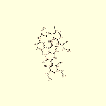 C=CC(=O)Nc1ccc(Cn2c(=O)c(-c3c(Cl)c(OC)cc(OC)c3Cl)cc3cnc(Nc4c(NC(=O)C=C)ccc(F)c4F)nc32)cc1